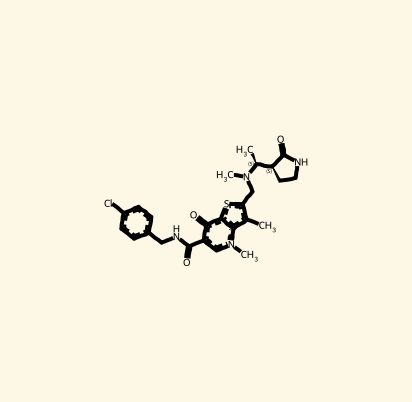 Cc1c(CN(C)[C@@H](C)[C@@H]2CCNC2=O)sc2c(=O)c(C(=O)NCc3ccc(Cl)cc3)cn(C)c12